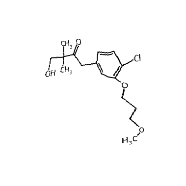 COCCCOc1cc(CC(=O)C(C)(C)CO)ccc1Cl